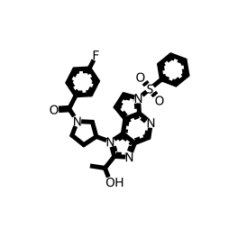 CC(O)c1nc2cnc3c(ccn3S(=O)(=O)c3ccccc3)c2n1C1CCN(C(=O)c2ccc(F)cc2)C1